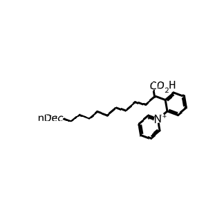 CCCCCCCCCCCCCCCCCCCC(C(=O)O)c1ccccc1-[n+]1ccccc1